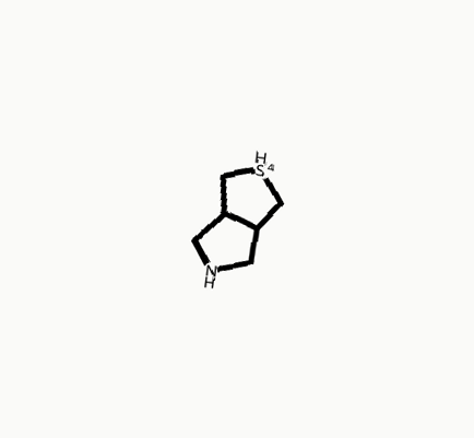 C1NCC2C[SH4]CC12